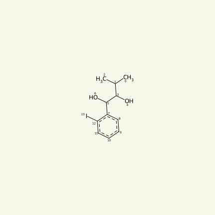 CC(C)C(O)C(O)c1ccccc1I